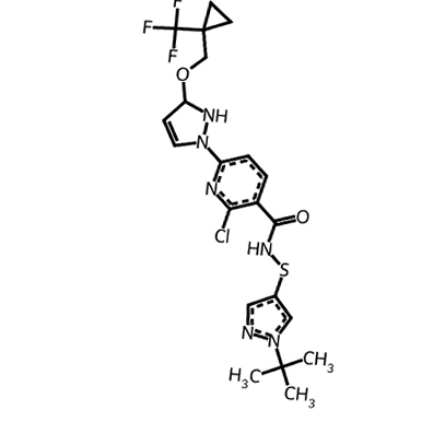 CC(C)(C)n1cc(SNC(=O)c2ccc(N3C=CC(OCC4(C(F)(F)F)CC4)N3)nc2Cl)cn1